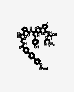 CCCCCOc1ccc(-c2ccc(-c3ccc(C(=O)NCC(=O)NC(CC)C(=O)N4CCCC4C(=O)NC(CCc4ccc(O)cc4)C(=O)NC(CC)C(=O)N4C[C@H](C)CC4C(=O)NC(OC(CN)CN)[C@@H](C)O)cc3)cc2)cc1